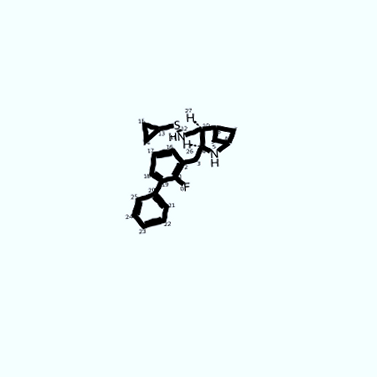 Fc1c(C[C@@H]2NC3CC(C3)[C@@H]2NSC2CC2)cccc1-c1ccccc1